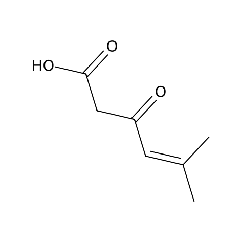 CC(C)=CC(=O)CC(=O)O